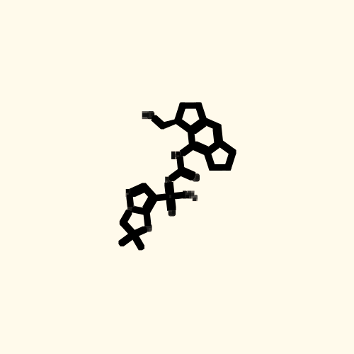 CC1(C)Cn2ncc(S(N)(=O)=NC(=O)Nc3c4c(cc5c3[C@@H](CO)CC5)CCC4)c2O1